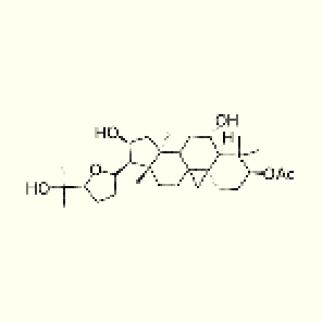 CC(=O)O[C@H]1CC[C@]23CC24CC[C@]2(C)[C@@H](C5CC[C@@H](C(C)(C)O)O5)[C@@H](O)C[C@@]2(C)C4C[C@H](O)[C@H]3C1(C)C